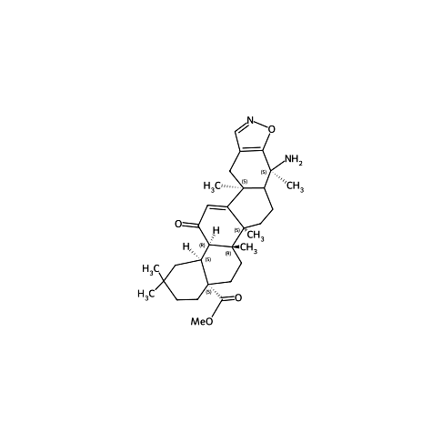 COC(=O)[C@]12CCC(C)(C)C[C@H]1[C@H]1C(=O)C=C3[C@@]4(C)Cc5cnoc5[C@@](C)(N)C4CC[C@@]3(C)[C@]1(C)CC2